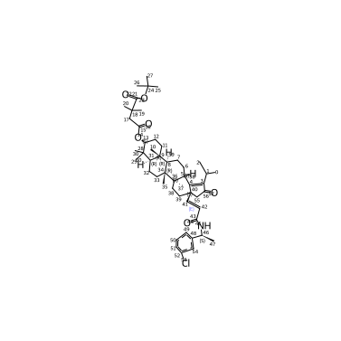 CC(C)C1=C2[C@H]3CC[C@@H]4[C@@]5(C)CC[C@H](OC(=O)CC(C)(C)C(=O)OC(C)(C)C)C(C)(C)[C@@H]5CC[C@@]4(C)[C@]3(C)CC[C@@]2(/C=C/C(=O)N[C@@H](C)c2cccc(Cl)c2)CC1=O